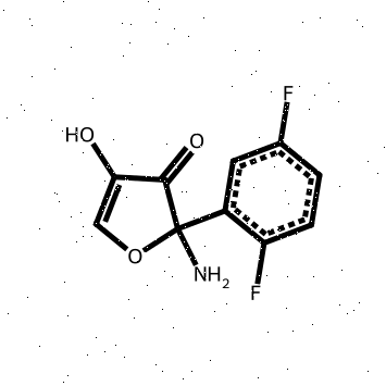 NC1(c2cc(F)ccc2F)OC=C(O)C1=O